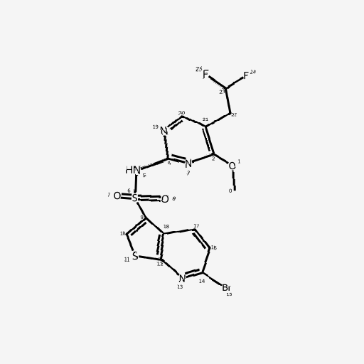 COc1nc(NS(=O)(=O)c2csc3nc(Br)ccc23)ncc1CC(F)F